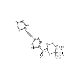 CC1(C)CN(C(=O)c2ccc(C#Cc3ccccc3)cn2)CC[C@@H]1O